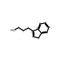 OCCCC1=CCc2ccccc21